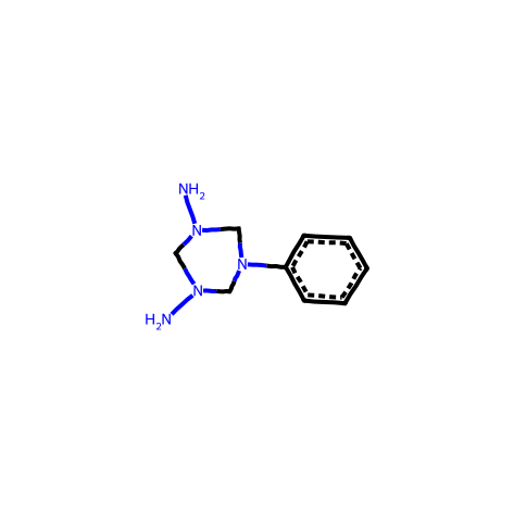 NN1CN(N)CN(c2ccccc2)C1